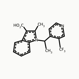 Cc1c(C(=O)O)c2ccccc2n1C(C)c1ccncc1C(F)(F)F